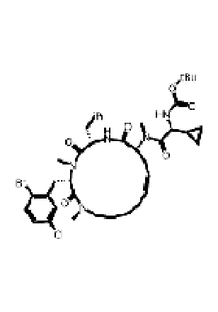 CC(C)C[C@@H]1NC(=O)[C@@H](N(C)C(=O)[C@@H](NC(=O)OC(C)(C)C)C2CC2)CC=CCCCCN(C)C(=O)[C@H](Cc2cc(Cl)ccc2Br)N(C)C1=O